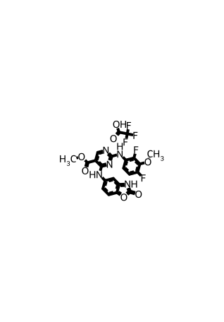 COC(=O)c1cnc(Nc2ccc(F)c(OC)c2F)nc1Nc1ccc2oc(=O)[nH]c2c1.O=C(O)C(F)(F)F